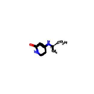 C[C@H](Nc1cc[nH]c(=O)c1)C(=O)O